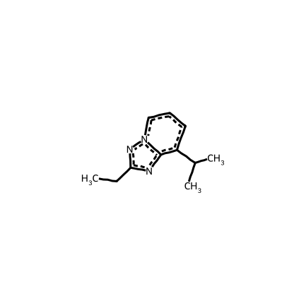 CCc1nc2c(C(C)C)cccn2n1